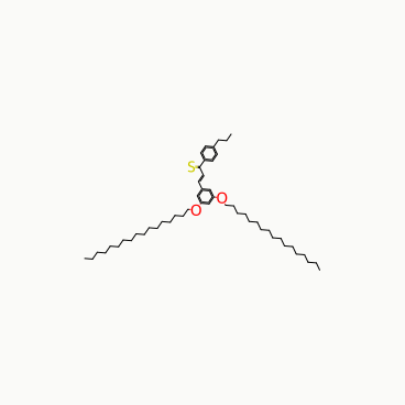 CCCCCCCCCCCCCCCCCOc1cc(C=CC(=S)c2ccc(CCC)cc2)cc(OCCCCCCCCCCCCCCCCC)c1